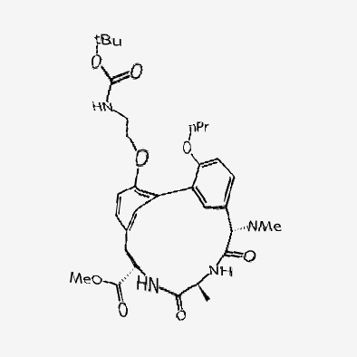 CCCOc1ccc2cc1-c1cc(ccc1OCCNC(=O)OC(C)(C)C)C[C@@H](C(=O)OC)NC(=O)[C@H](C)NC(=O)[C@H]2NC